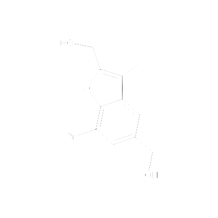 Cc1c(CO)oc2c(Br)cc(CO)cc12